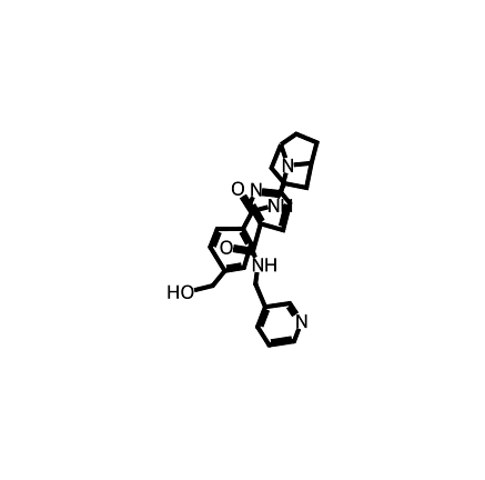 O=C(NCc1cccnc1)c1ccc(N2C3CCC2CC(NC(=O)c2ccc(CO)cc2)C3)nc1